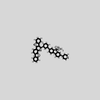 CC1(C)c2cc(-c3ccncc3)ccc2-c2ccc(-c3cccc(-c4nc5c(ccc6c7ccccc7oc65)c5oc6ccccc6c45)c3)cc21